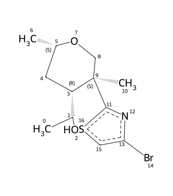 CC(O)[C@@H]1C[C@H](C)OC[C@@]1(C)c1nc(Br)cs1